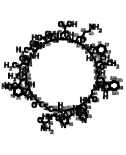 CC[C@H](C)[C@@H]1NC(=O)[C@H](Cc2ccccc2)NC(=O)[C@H](CCCCN)NC(=O)[C@H](CCC(=O)O)NC(=O)[C@H]([C@@H](C)O)NC(=O)[C@H](C(C)C)NC(=O)[C@H]([C@@H](C)CC)NC(=O)[C@H]([C@@H](C)CC)NC(=O)[C@@H](Cc2ccc(O)cc2)NC(=O)CSC[C@@H](C(=O)NCC(N)=O)NC(=O)[C@H](Cc2cnc[nH]2)NC(=O)[C@H](Cc2cnc[nH]2)NC(=O)CNC(=O)[C@H](Cc2c[nH]c3ccccc23)NC1=O